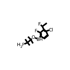 CC(F)c1c(Cl)ccc(BOC(C)(C)C(C)(C)P)c1F